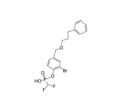 O=P(O)(Oc1ccc(COCCCc2ccccc2)cc1Br)C(F)F